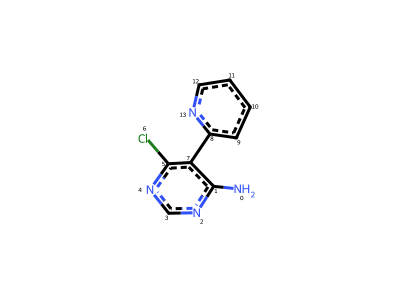 Nc1ncnc(Cl)c1-c1ccccn1